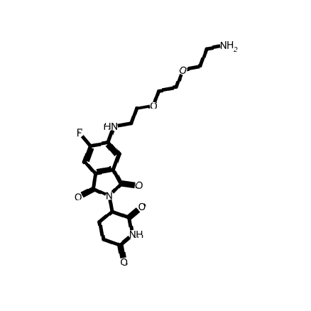 NCCOCCOCCNc1cc2c(cc1F)C(=O)N(C1CCC(=O)NC1=O)C2=O